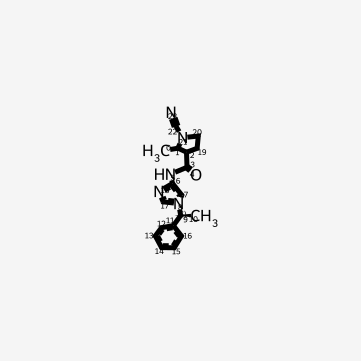 CC1C(C(=O)Nc2cn([C@@H](C)c3ccccc3)cn2)CCN1C#N